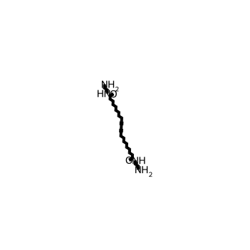 NCCNC(=O)CCCCCCCCC#CC#CCCCCCCCCC(=O)NCCN